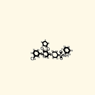 O=c1c(OC2CCCC2)c(N2CCC(S(=O)(=O)Nc3ccccc3)CC2)cnn1-c1cccc(Cl)c1